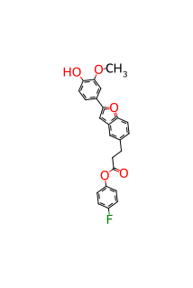 COc1cc(-c2cc3cc(CCC(=O)Oc4ccc(F)cc4)ccc3o2)ccc1O